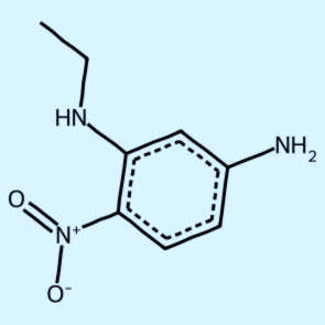 CCNc1cc(N)ccc1[N+](=O)[O-]